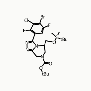 CC(C)(C)OC(=O)N1Cc2nnc(-c3cc(F)c(Br)c(Cl)c3F)n2[C@@H](CO[Si](C)(C)C(C)(C)C)C1